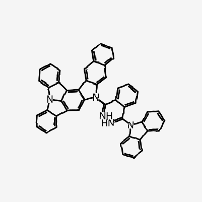 N=C(c1ccccc1C(=N)n1c2cc3ccccc3cc2c2c3c4ccccc4n4c5ccccc5c(cc21)c34)n1c2ccccc2c2ccccc21